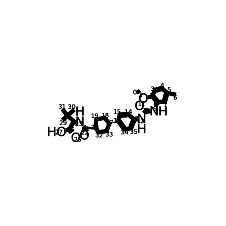 COc1ccc(C)cc1NC(=O)Nc1ccc([C@H]2CC[C@H](C(=O)N[C@H](C(=O)O)C(C)(C)C)CC2)cc1